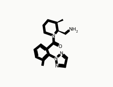 Cc1cccc(C(=O)N2CCC[C@@H](C)[C@H]2CN)c1-n1nccn1